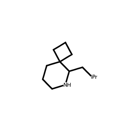 CC(C)CC1NCCCC12CCC2